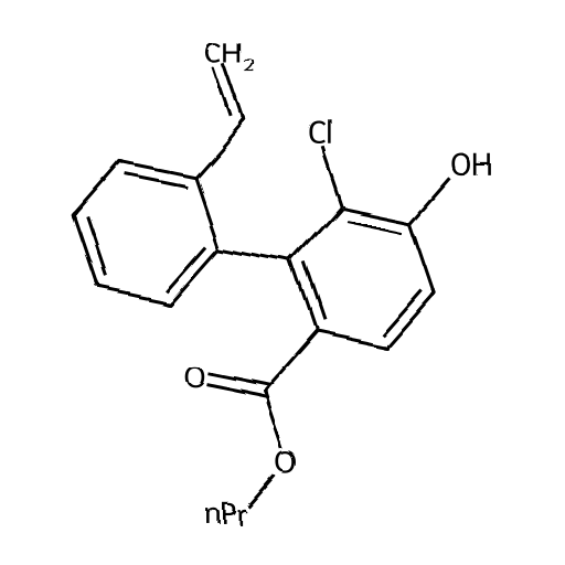 C=Cc1ccccc1-c1c(C(=O)OCCC)ccc(O)c1Cl